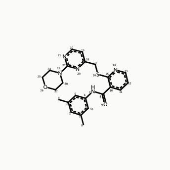 Cc1cc(C)cc(NC(=O)c2cccnc2SCc2ccnc(N3CCOCC3)n2)c1